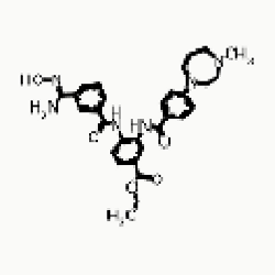 CCOC(=O)c1ccc(NC(=O)c2cccc(/C(N)=N/O)c2)c(NC(=O)c2ccc(N3CCCN(C)CC3)cc2)c1